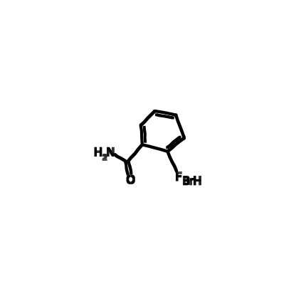 Br.NC(=O)c1ccccc1F